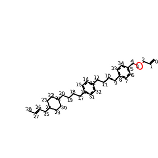 C=CCOCc1ccc(CCCCc2ccc(CCCCC3CCC(CC=CC)CC3)cc2)cc1